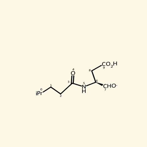 CC(C)CCC(=O)N[C@H]([C]=O)CC(=O)O